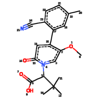 COc1cn(C(C(=O)O)C(C)(C)C)c(=O)cc1-c1cc(C)ccc1C#N